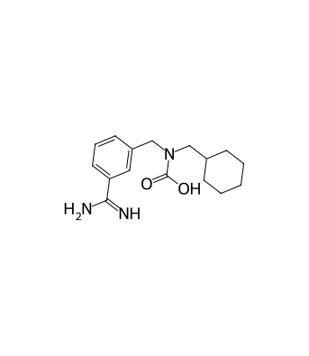 N=C(N)c1cccc(CN(CC2CCCCC2)C(=O)O)c1